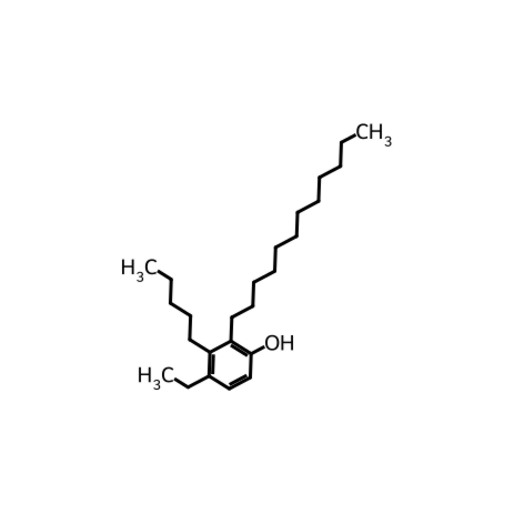 CCCCCCCCCCCCc1c(O)ccc(CC)c1CCCCC